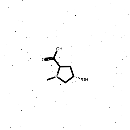 CN1C[C@@H](O)CC1C(=O)O